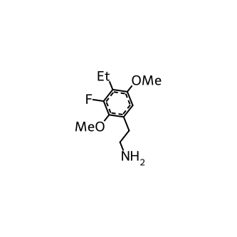 CCc1c(OC)cc(CCN)c(OC)c1F